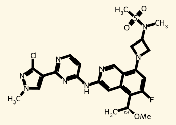 CO[C@@H](C)c1c(F)cc(N2CC(N(C)S(C)(=O)=O)C2)c2cnc(Nc3ccnc(-c4cn(C)nc4Cl)n3)cc12